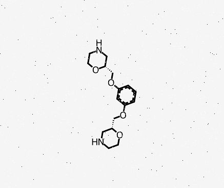 c1cc(OC[C@H]2CNCCO2)cc(OC[C@H]2CNCCO2)c1